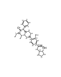 CCN(CC)C(=O)C(c1ccccc1)N1CCN(c2ccc(C(CC3CCCC3)=NO)cc2F)CC1